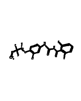 O=C(NC(=O)c1c(F)cccc1F)Nc1ccc(O[C@@H](F)C(F)(F)OC(F)(F)F)c(Cl)c1